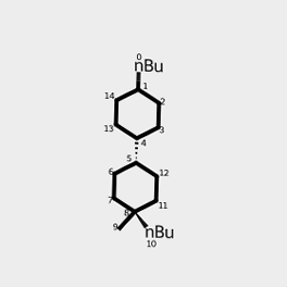 CCCCC1CCC([C@H]2CC[C@](C)(CCCC)CC2)CC1